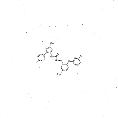 Cc1ccc(-n2nc(C(C)(C)C)cc2NC(=O)NCc2cc(C(F)(F)F)ccc2Oc2ccnc(Cl)n2)cc1